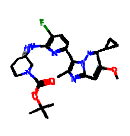 COc1cc2nc(C)c(-c3ccc(F)c(N[C@@H]4CCCN(C(=O)OC(C)(C)C)C4)n3)n2nc1C1CC1